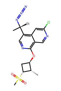 CC[C@@](C)(N=[N+]=[N-])c1cnc(O[C@@H]2C[C@@H](S(C)(=O)=O)[C@H]2C)c2cnc(Cl)cc12